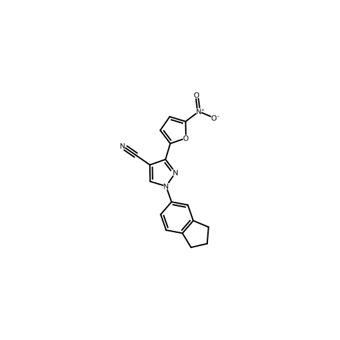 N#Cc1cn(-c2ccc3c(c2)CCC3)nc1-c1ccc([N+](=O)[O-])o1